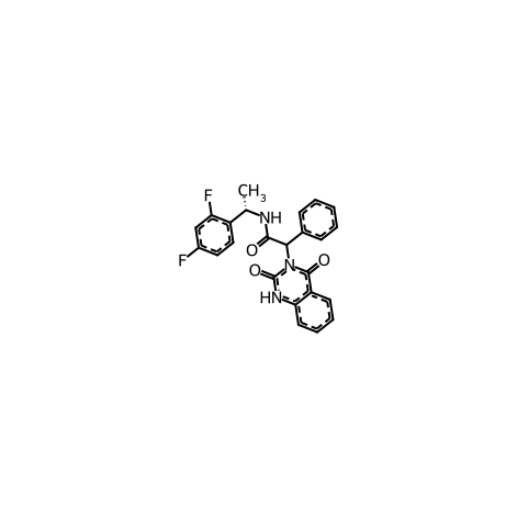 C[C@H](NC(=O)C(c1ccccc1)n1c(=O)[nH]c2ccccc2c1=O)c1ccc(F)cc1F